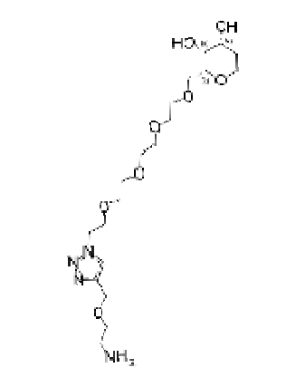 NCCOCc1cn(CCOCCOCCOCCOC[C@H]2OCC[C@@H](O)[C@H]2O)nn1